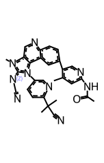 CC(=O)Nc1cc(C)c(-c2ccc3ncc4c(c3c2)n(-c2ccc(C(C)(C)C#N)nc2)/c(=N\C#N)n4C)cn1